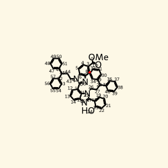 COC(=O)c1ccc2c(c1)nc(-c1cccc3nc(-c4ccccc4O)n(CCC(c4ccccc4)c4ccccc4)c13)n2CCC(c1ccccc1)c1ccccc1